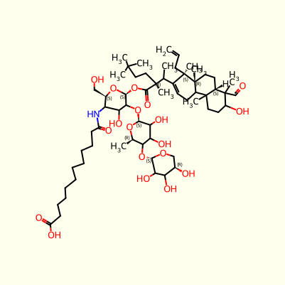 C=CC[C@]1(C)C(C(C)[C@@](C)(CCC(C)(C)C)C(=O)O[C@@H]2O[C@H](CO)C(NC(=O)CCCCCCCCCCC(=O)O)C(O)C2O[C@@H]2O[C@H](C)C(O[C@@H]3OC[C@@H](O)C(O)C3O)C(O)C2O)=CCC2C3(C)CCC(O)C(C)(C=O)[C@H]3CC[C@]21C